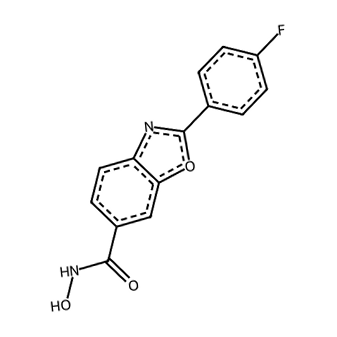 O=C(NO)c1ccc2nc(-c3ccc(F)cc3)oc2c1